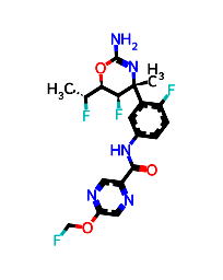 C[C@@H](F)[C@H]1OC(N)=N[C@](C)(c2cc(NC(=O)c3cnc(OCF)cn3)ccc2F)[C@H]1F